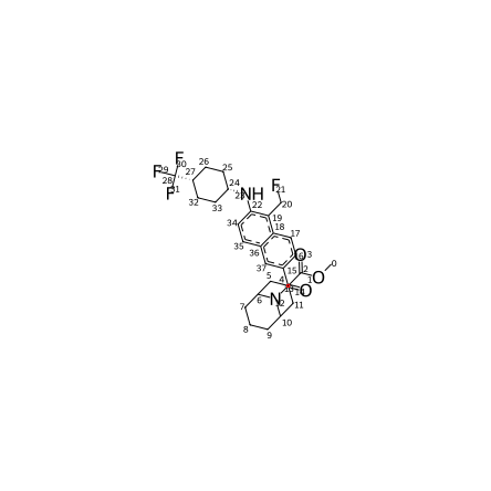 COC(=O)C1CC2CCCC(C1)N2C(=O)c1ccc2c(CF)c(N[C@H]3CC[C@@H](C(F)(F)F)CC3)ccc2c1